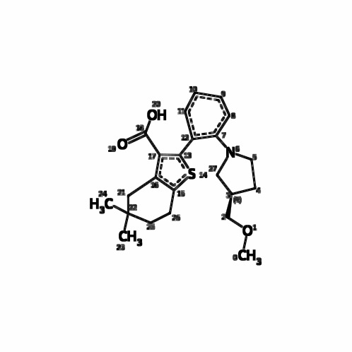 COC[C@@H]1CCN(c2ccccc2-c2sc3c(c2C(=O)O)CC(C)(C)CC3)C1